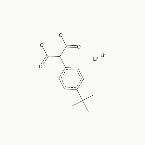 CC(C)(C)c1ccc(C(C(=O)[O-])C(=O)[O-])cc1.[Li+].[Li+]